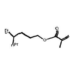 [CH2]CC(CCC)CCCOC(=O)C(=C)C